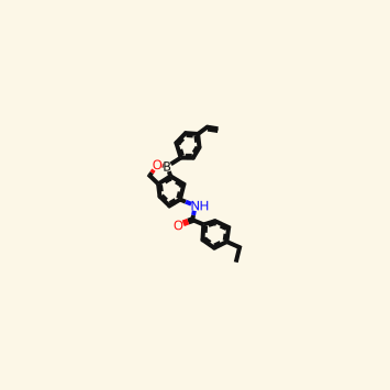 C=Cc1ccc(B2OCc3ccc(NC(=O)c4ccc(CC)cc4)cc32)cc1